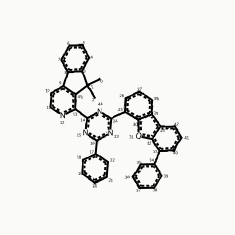 CC1(C)c2ccccc2-c2ccnc(-c3nc(-c4ccccc4)nc(-c4cccc5c4oc4c(-c6ccccc6)cccc45)n3)c21